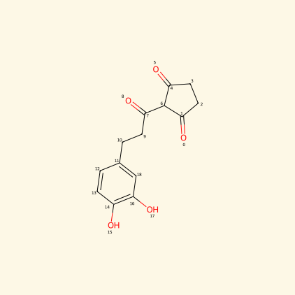 O=C1CCC(=O)C1C(=O)CCc1ccc(O)c(O)c1